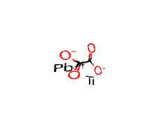 O=C([O-])C(=O)[O-].[Pb+2].[Ti]